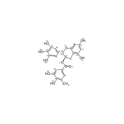 Cc1cc(C(=O)O[C@@H]2Cc3c(O)cc(O)cc3O[C@H]2c2cc(O)c(O)c(O)c2)cc(O)c1O